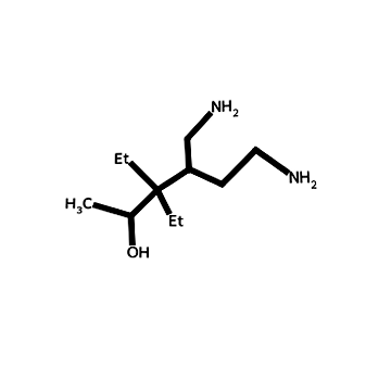 CCC(CC)([C](CN)CCN)C(C)O